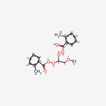 [CH2]COC[C](OOC(=O)c1ccccc1C)OOC(=O)c1ccccc1C